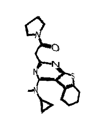 CN(c1nc(CC(=O)N2CCCC2)nc2sc3c(c12)CCCC3)C1CC1